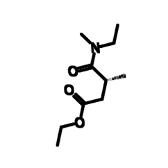 CCOC(=O)C[C@@H](C)C(=O)N(C)CC